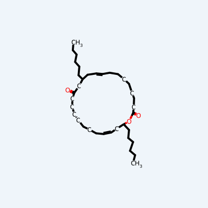 CCCCCCC1C/C=C/CCCCCCCC(=O)OC(CCCCCC)C/C=C\CCCCCCCC(=O)C1